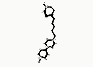 IN1CCC(CCCCCN2CCN(C3CCN(I)CC3)CC2)CC1